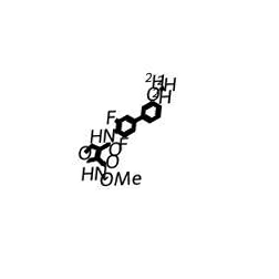 [2H]C([2H])([2H])Oc1cccc(-c2cc(F)c(NC(=O)C3=C(C(=O)NOC)COC3)c(F)c2)c1